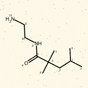 CC(C)CC(C)(C)C(=O)NCCN